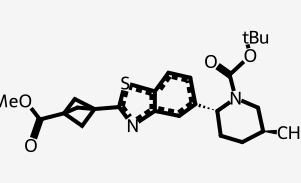 COC(=O)C12CC(c3nc4cc([C@H]5CC[C@H](C)CN5C(=O)OC(C)(C)C)ccc4s3)(C1)C2